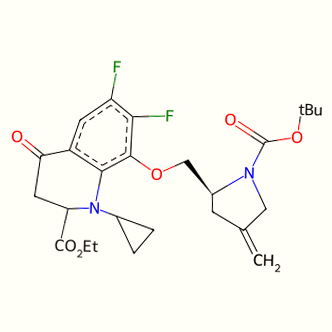 C=C1C[C@@H](COc2c(F)c(F)cc3c2N(C2CC2)C(C(=O)OCC)CC3=O)N(C(=O)OC(C)(C)C)C1